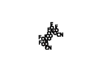 N#Cc1ccc(N(c2c(F)cc(F)cc2-c2ccccc2F)c2ccc3ccc4c(N(c5ccc(C#N)cc5)c5c(F)cc(F)cc5-c5ccccc5F)ccc5ccc2c3c54)cc1